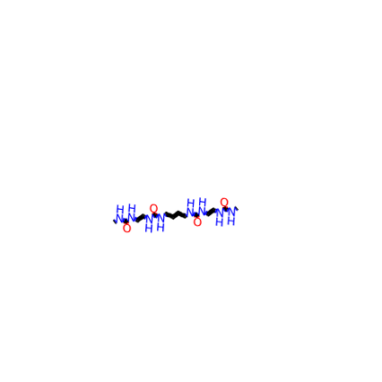 CNC(=O)NCCNC(=O)NCCCCNC(=O)NCCNC(=O)NC